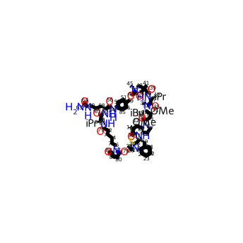 CC[C@H](C)[C@@H]([C@@H](CC(=O)N1CCC[C@H]1[C@H](OC)[C@@H](C)C(=O)N[C@@H](Cc1ccccc1)c1nccs1)OC)N(C)C(=O)[C@@H](NC(=O)C(C)(C)CN(C)C(=O)OCc1ccc(NC(=O)[C@H](CCCNC(N)=O)NC(=O)[C@@H](NC(=O)CCCCCN2C(=O)C=CC2=O)C(C)C)cc1)C(C)C